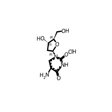 Cl.Nc1cn([C@H]2C[C@H](O)[C@@H](CO)O2)c(=O)[nH]c1=O